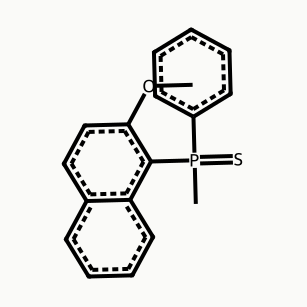 COc1ccc2ccccc2c1P(C)(=S)c1ccccc1